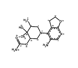 CC1CN(c2c(N)cnc3c2CCO3)CC(OC(N)=O)C1(C)O